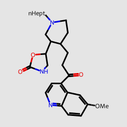 CCCCCCCN1CCC(CCC(=O)c2ccnc3ccc(OC)cc23)C(C2CNC(=O)O2)C1